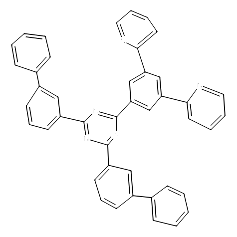 c1ccc(-c2cccc(-c3nc(-c4cccc(-c5ccccc5)c4)nc(-c4cc(-c5ccccn5)cc(-c5ccccn5)c4)n3)c2)cc1